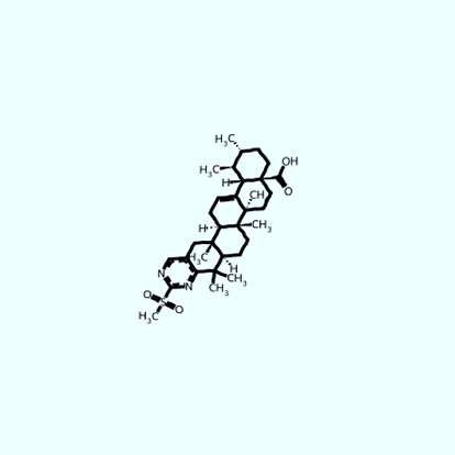 C[C@H]1[C@H](C)CC[C@]2(C(=O)O)CC[C@]3(C)C(=CC[C@@H]4[C@@]5(C)Cc6cnc(S(C)(=O)=O)nc6C(C)(C)[C@@H]5CC[C@]43C)[C@H]12